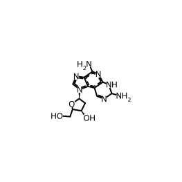 Nc1nc2c(c3c1ncn3[C@H]1C[C@@H](O)C(CO)O1)C=NC(N)N2